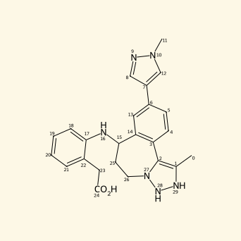 CC1=C2c3ccc(-c4cnn(C)c4)cc3C(Nc3ccccc3CC(=O)O)CCN2NN1